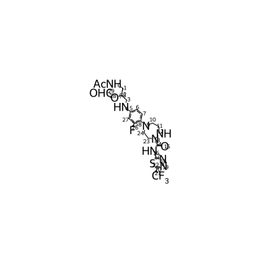 CC(=O)NC[C@@H](CNc1ccc(N2CCNN(C(=O)Nc3nnc(C(F)(F)F)s3)CC2)c(F)c1)OC=O